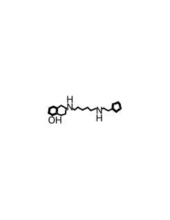 Oc1cccc2c1CCC(NCCCCCCNCCc1ccccc1)C2